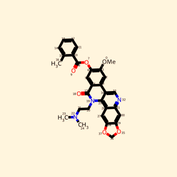 COc1cc2c(cc1OC(=O)c1ccccc1C)c(=O)n(CCN(C)C)c1c3cc4c(cc3ncc21)OCO4